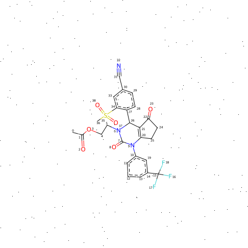 CC(=O)OCCN1C(=O)N(c2cccc(C(F)(F)F)c2)C2=C(C(=O)CC2)C1c1ccc(C#N)cc1S(C)(=O)=O